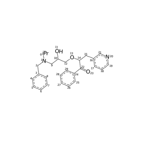 CC(C)N(Cc1ccccc1)CC(O)COC(Cc1cccnc1)C(=O)c1ccccc1